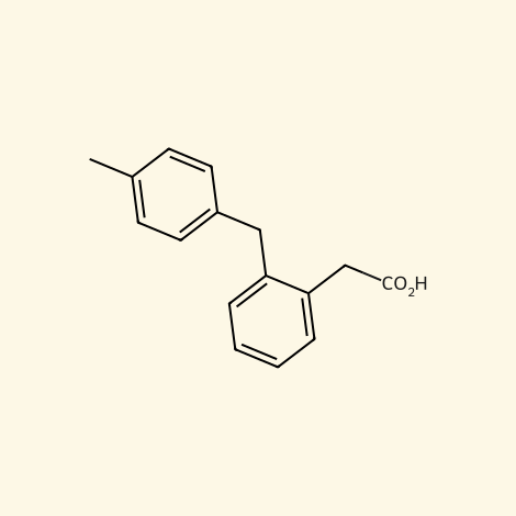 Cc1ccc(Cc2ccccc2CC(=O)O)cc1